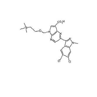 Cn1nc(-c2cnc3c(n2)c(C(=O)O)cn3COCC[Si](C)(C)C)c2cc(Cl)c(Cl)cc21